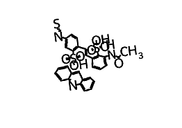 CC(=O)Nc1cccc(C=Cc2ccc(N=C=S)cc2S(=O)(=O)O)c1S(=O)(=O)O.c1ccc2nc3ccccc3cc2c1